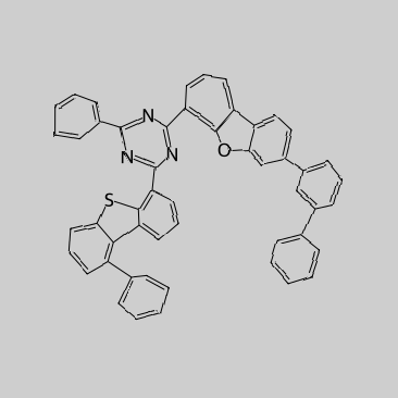 c1ccc(-c2cccc(-c3ccc4c(c3)oc3c(-c5nc(-c6ccccc6)nc(-c6cccc7c6sc6cccc(-c8ccccc8)c67)n5)cccc34)c2)cc1